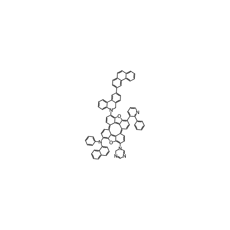 C1=NC=NCN1c1ccc2c3ccc(-c4cccnc4-c4ccccc4)c4oc5c(N6Cc7ccc(-c8ccc9ccc%10ccccc%10c9c8)cc7-c7ccccc76)ccc(c6ccc(N(c7ccccc7)c7cccc8ccccc78)c7oc1c2c76)c5c43